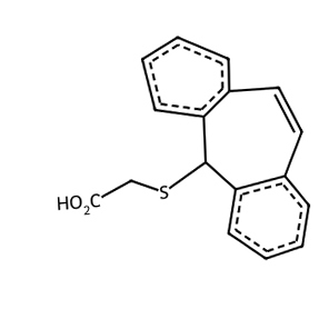 O=C(O)CSC1c2ccccc2C=Cc2ccccc21